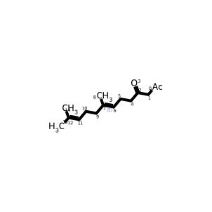 CC(=O)CC(=O)CC/C=C(\C)CCC=C(C)C